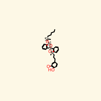 CCCCC[Si](C)(C)O[Si](C)(C)O[Si](O[Si](C)(C)CCCc1ccc(O)c(OC)c1)(c1ccccc1)c1ccccc1